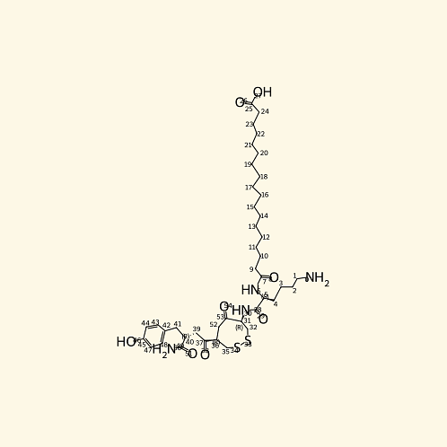 NCCCC[C@H](NC(=O)CCCCCCCCCCCCCCCCC(=O)O)C(=O)N[C@H]1CSSC[C@@H](C(=O)C[C@@H](Cc2ccc(O)cc2)C(N)=O)CC1=O